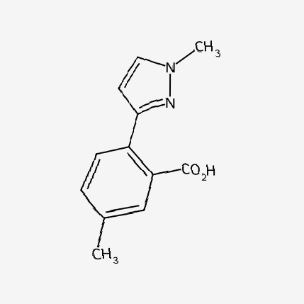 Cc1ccc(-c2ccn(C)n2)c(C(=O)O)c1